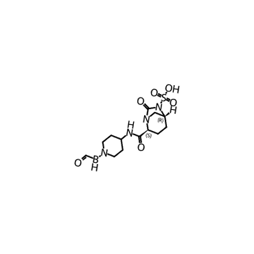 O=CBN1CCC(NC(=O)[C@@H]2CC[C@@H]3CN2C(=O)N3S(=O)(=O)O)CC1